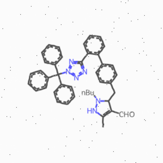 CCCCN1NC(C)=C(C=O)C1Cc1ccc(-c2ccccc2-c2nnn(C(c3ccccc3)(c3ccccc3)c3ccccc3)n2)cc1